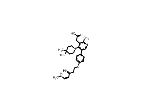 CN/C=C\C(=N)CCOc1ccc(-c2cnc(C)c(CC(=O)O)c2N2CCC(C)(C)CC2)nc1